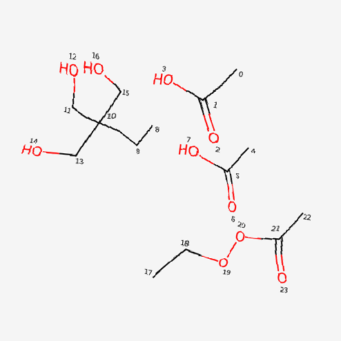 CC(=O)O.CC(=O)O.CCC(CO)(CO)CO.CCOOC(C)=O